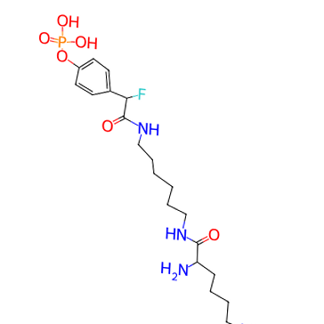 NCCCCC(N)C(=O)NCCCCCCNC(=O)C(F)c1ccc(OP(=O)(O)O)cc1